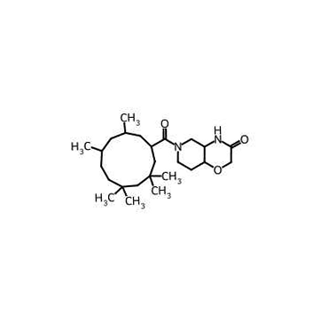 CC1CCC(C)(C)CC(C)(C)CC(C(=O)N2CCC3OCC(=O)NC3C2)CC(C)C1